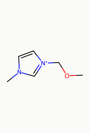 COC[n+]1ccn(C)c1